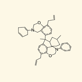 C=CCc1ccc(C(C)(c2ccc(CC=C)c3c2CN(c2ccccc2)CO3)C2CCCC(C)C2)c2c1OCN(C1=CCC=CC1)C2